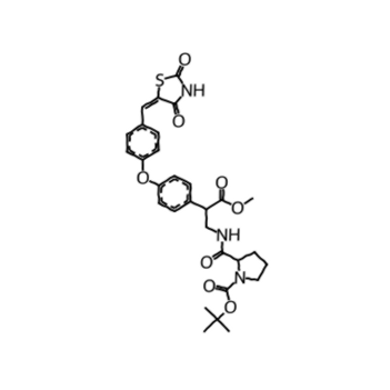 COC(=O)C(CNC(=O)C1CCCN1C(=O)OC(C)(C)C)c1ccc(Oc2ccc(C=C3SC(=O)NC3=O)cc2)cc1